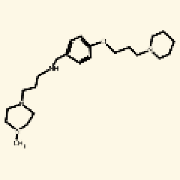 CN1CCN(CCCNCc2ccc(OCCCN3CCCCC3)cc2)CC1